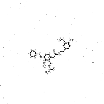 COc1ccc(CCNC(=O)Cc2ccc(OCc3ccccc3)c(OC)c2COC(C)=O)cc1OC